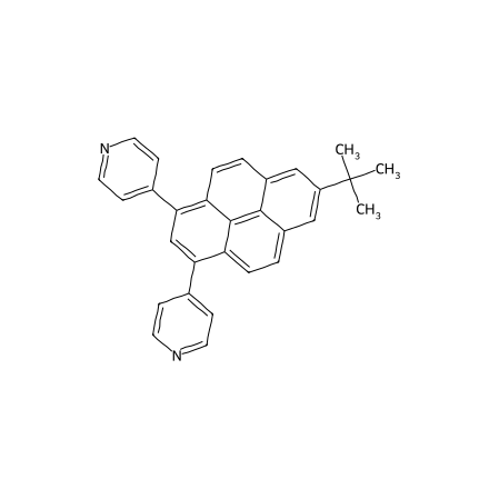 CC(C)(C)c1cc2ccc3c(-c4ccncc4)cc(-c4ccncc4)c4ccc(c1)c2c34